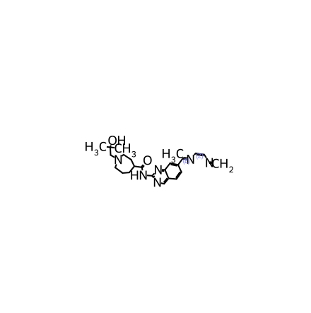 C=N/C=C\N=C(/C)c1ccc2cnc(NC(=O)C3CCCN(CC(C)(C)O)CC3)nc2c1